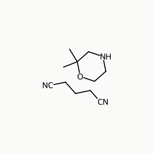 CC1(C)CNCCO1.N#CCCCC#N